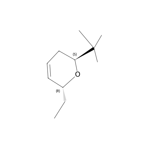 CC[C@@H]1C=CC[C@@H](C(C)(C)C)O1